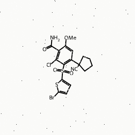 COc1cc(C2(C#N)CCCC2)c(S(=O)(=O)c2ccc(Br)s2)c(Cl)c1C(N)=O